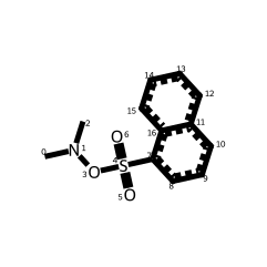 CN(C)OS(=O)(=O)c1cccc2ccccc12